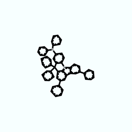 c1ccc(-c2ccc3c(c2)c2cc(-c4ccccc4)cc4c2n3-c2ccc(N(c3ccccc3)c3ccccc3)cc2C4(c2ccccc2)c2ccccc2)cc1